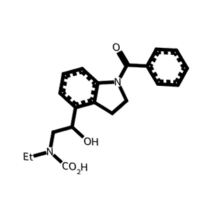 CCN(CC(O)c1cccc2c1CCN2C(=O)c1ccccc1)C(=O)O